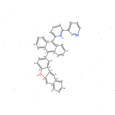 c1cncc(-c2cccc(-c3c4ccccc4c(-c4ccc5oc6cc7ccccc7cc6c5c4)c4ccccc34)n2)c1